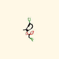 Cc1cc(Cl)ccc1OC(=O)CF